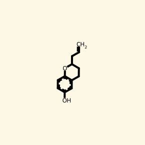 C=CCC1CCc2cc(O)ccc2O1